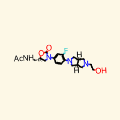 CC(=O)NC[C@H]1CN(c2ccc(N3C[C@H]4CN(CCO)C[C@H]4C3)c(F)c2)C(=O)O1